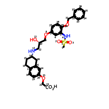 CS(=O)(=O)Nc1cc(OC[C@@H](O)CN[C@H]2CCc3ccc(OCC(=O)O)cc3C2)ccc1OCc1ccccc1